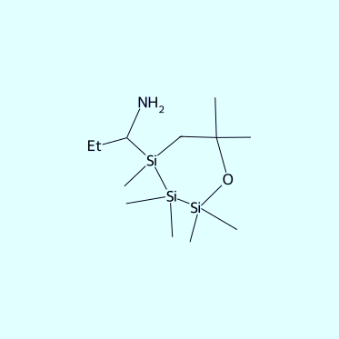 CCC(N)[Si]1(C)CC(C)(C)O[Si](C)(C)[Si]1(C)C